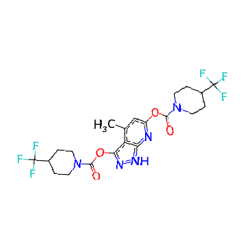 Cc1cc(OC(=O)N2CCC(C(F)(F)F)CC2)nc2[nH]nc(OC(=O)N3CCC(C(F)(F)F)CC3)c12